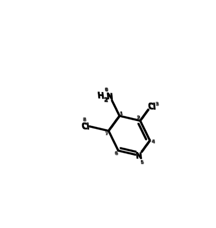 NC1C(Cl)=CN=CC1Cl